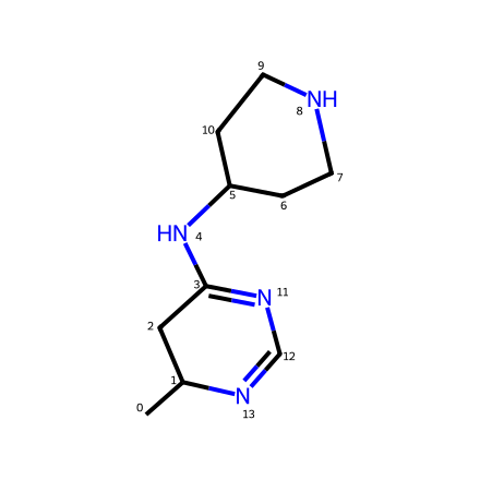 CC1CC(NC2CCNCC2)=NC=N1